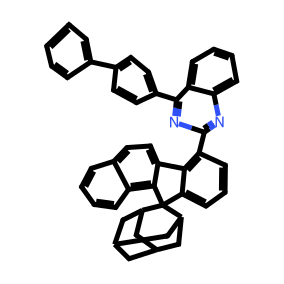 c1ccc(-c2ccc(-c3nc(-c4cccc5c4-c4ccc6ccccc6c4C54C5CC6CC(C5)CC4C6)nc4ccccc34)cc2)cc1